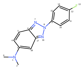 CN(C)c1ccc2nn(-c3ccc(F)cc3)nc2c1